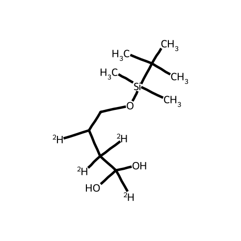 [2H]C(CO[Si](C)(C)C(C)(C)C)C([2H])([2H])C([2H])(O)O